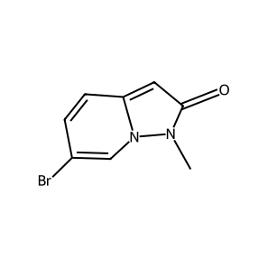 Cn1c(=O)cc2ccc(Br)cn21